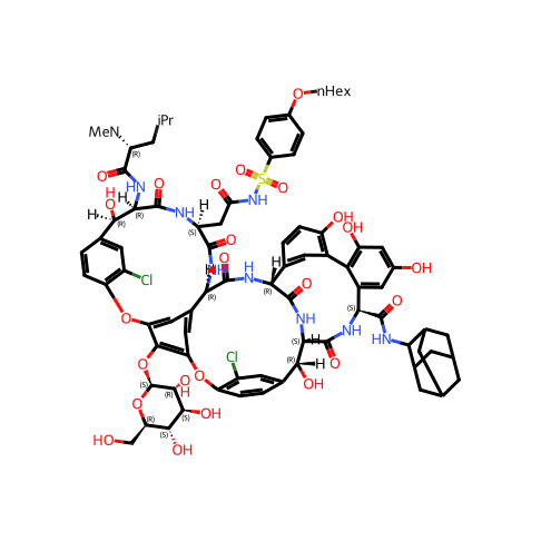 CCCCCCOc1ccc(S(=O)(=O)NC(=O)C[C@@H]2NC(=O)[C@H](NC(=O)[C@@H](CC(C)C)NC)[C@H](O)c3ccc(c(Cl)c3)Oc3cc4cc(c3O[C@@H]3O[C@H](CO)[C@@H](O)[C@H](O)[C@H]3O)Oc3ccc(cc3Cl)[C@@H](O)[C@@H]3NC(=O)[C@H](NC(=O)[C@@H]4NC2=O)c2ccc(O)c(c2)-c2c(O)cc(O)cc2[C@@H](C(=O)NC2C4CC5CC(C4)CC2C5)NC3=O)cc1